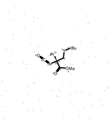 COC(=O)[C@@](CSC(C)(C)C)(N=C=O)C(C)C